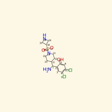 NC(c1cc(Cl)c(Cl)cc1O)C1CCN(S(=O)(=O)C2CNC2)CC1